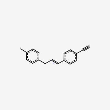 N#Cc1ccc(/C=C/Cc2ccc(F)cc2)cc1